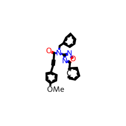 COc1ccc(C#CC(=O)N(Cc2ccccc2)c2noc(-c3ccccc3)n2)cc1